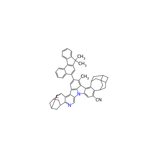 Cc1c(-c2cc3c(c4ccccc24)-c2ccccc2C3(C)C)cc2c3c4c(ncc3n3c5cc(C#N)c6c(c5c1c23)C1CC2CC3CC6CC32C1)C1CC2CC(C1)CC4C2